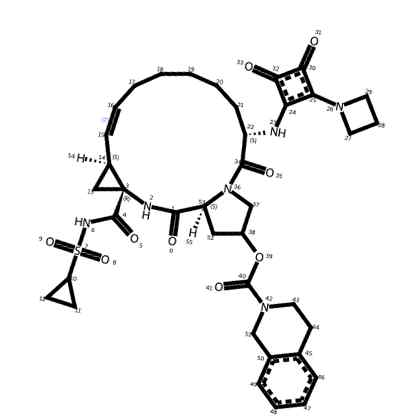 O=C1N[C@]2(C(=O)NS(=O)(=O)C3CC3)C[C@H]2/C=C\CCCCC[C@H](Nc2c(N3CCC3)c(=O)c2=O)C(=O)N2CC(OC(=O)N3CCc4ccccc4C3)C[C@@H]12